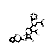 Nc1sccc1CC(=O)NC1C(=O)N2C(C(=O)O)=C(C(CCC(=O)O)Sc3nnn[nH]3)CS[C@@H]12